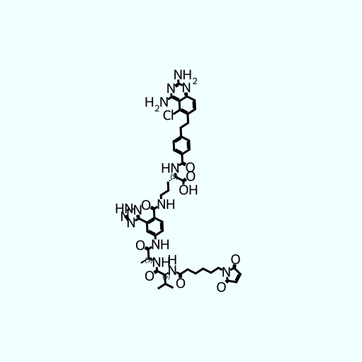 CC(C)[C@H](NC(=O)CCCCCN1C(=O)C=CC1=O)C(=O)N[C@@H](C)C(=O)Nc1ccc(C(=O)NCCC[C@H](NC(=O)c2ccc(CCc3ccc4nc(N)nc(N)c4c3Cl)cc2)C(=O)O)c(-c2nn[nH]n2)c1